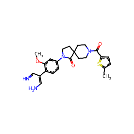 COc1cc(N2CCC3(CCN(C(=O)c4ccc(C)s4)CC3)C2=O)ccc1/C(C=N)=C/N